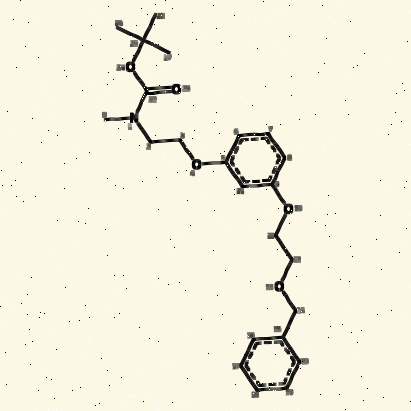 CN(CCOc1cccc(OCCOCc2ccccc2)c1)C(=O)OC(C)(C)C